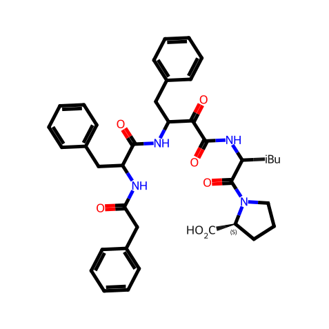 CCC(C)C(NC(=O)C(=O)C(Cc1ccccc1)NC(=O)C(Cc1ccccc1)NC(=O)Cc1ccccc1)C(=O)N1CCC[C@H]1C(=O)O